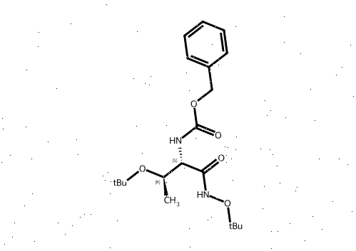 C[C@@H](OC(C)(C)C)[C@H](NC(=O)OCc1ccccc1)C(=O)NOC(C)(C)C